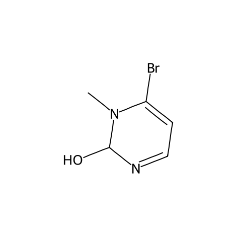 CN1C(Br)=CC=NC1O